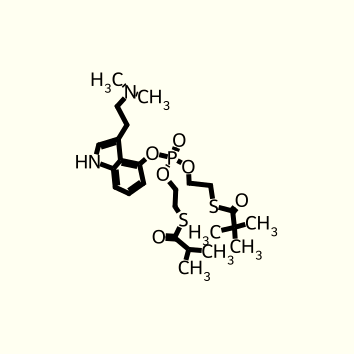 CC(C)C(=O)SCCOP(=O)(OCCSC(=O)C(C)(C)C)Oc1cccc2[nH]cc(CCN(C)C)c12